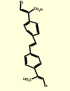 CCC=C(C(=O)O)c1ccc(C=Cc2ccc(C(=CCC)C(=O)O)cc2)cc1